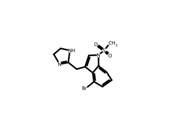 CS(=O)(=O)n1cc(CC2=NCCN2)c2c(Br)cccc21